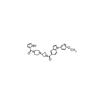 COc1ccc(-n2ccc3cc(C(=O)N4CC(N5CCN(C(=O)c6ccc[nH]6)CC5)C4)ccc32)cn1